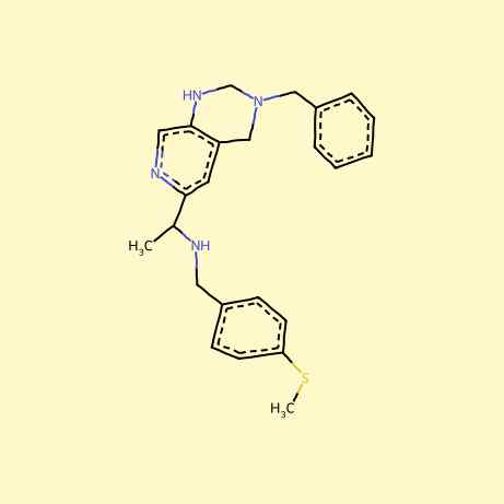 CSc1ccc(CNC(C)c2cc3c(cn2)NCN(Cc2ccccc2)C3)cc1